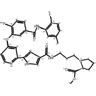 COC(=O)[C@@H]1CCCN1CCCNC(=O)c1c[nH]c(-c2cc(Oc3cc(C(=O)Nc4cc(C)ccc4F)ccc3F)ccn2)c1